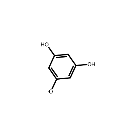 [O]c1cc(O)cc(O)c1